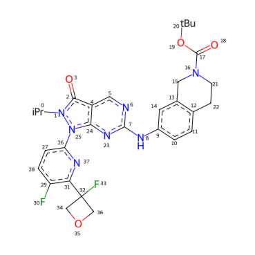 CC(C)n1c(=O)c2cnc(Nc3ccc4c(c3)CN(C(=O)OC(C)(C)C)CC4)nc2n1-c1ccc(F)c(C2(F)COC2)n1